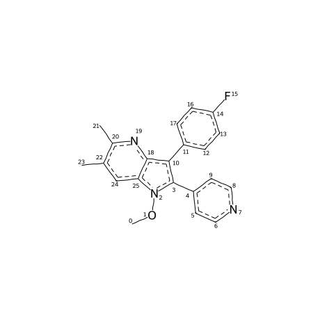 COn1c(-c2ccncc2)c(-c2ccc(F)cc2)c2nc(C)c(C)cc21